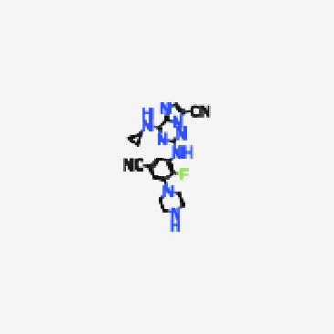 N#Cc1cc(Nc2nc(NC3CC3)c3ncc(C#N)n3n2)c(F)c(N2CCNCC2)c1